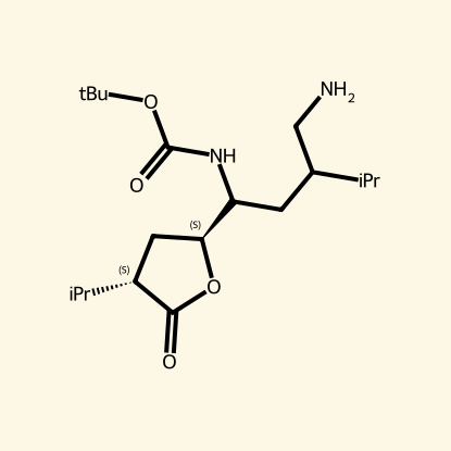 CC(C)C(CN)CC(NC(=O)OC(C)(C)C)[C@@H]1C[C@@H](C(C)C)C(=O)O1